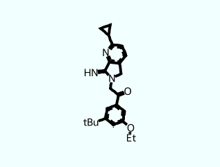 CCOc1[c]c(C(C)(C)C)cc(C(=O)CN2Cc3ccc(C4CC4)nc3C2=N)c1